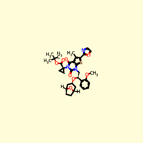 COc1ccccc1[C@H](Cn1c(=O)n(C2(C(=O)OC(C)(C)C)CC2)c(=O)c2c(C)c(-c3ncco3)sc21)O[C@@H]1C[C@H]2CC[C@@H](C1)O2